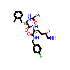 Cc1ccccc1C[C@H](NC(=O)C(C)C)C(=O)N[C@@H](CCC(=O)C=N)C(=O)NCc1ccc(F)cc1